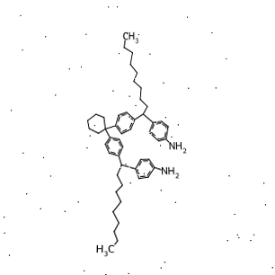 CCCCCCCCCC(c1ccc(N)cc1)c1ccc(C2(c3ccc(C(CCCCCCCCC)c4ccc(N)cc4)cc3)CCCCC2)cc1